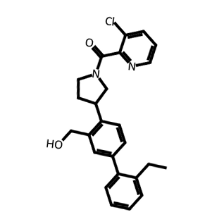 CCc1ccccc1-c1ccc(C2CCN(C(=O)c3ncccc3Cl)C2)c(CO)c1